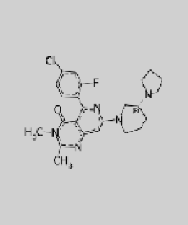 Cc1nc2cc(N3CCC[C@@H](N4CCCC4)C3)nc(-c3ccc(Cl)cc3F)c2c(=O)n1C